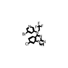 FC(F)(F)CN(c1cncc(Br)c1)c1nc2nncn2c2cc(Cl)ccc12